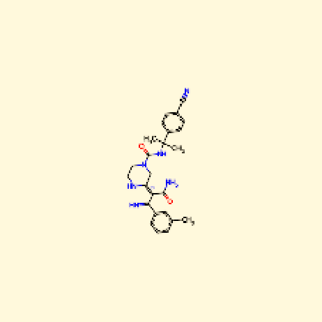 Cc1cccc(C(=N)/C(C(N)=O)=C2/CN(C(=O)NC(C)(C)c3ccc(C#N)cc3)CCN2)c1